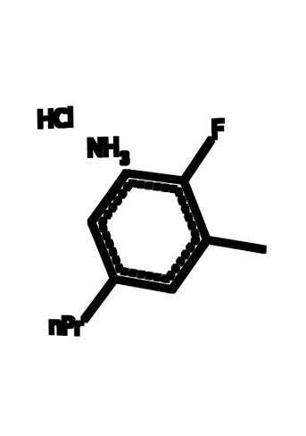 CCCc1ccc(F)c(C)c1.Cl.N